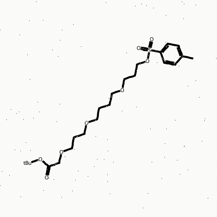 Cc1ccc(S(=O)(=O)OCCCOCCCCOCCCOCC(=O)OC(C)(C)C)cc1